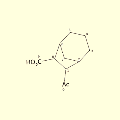 CC(=O)C1C2CCCC(C2)C1C(=O)O